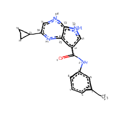 O=C(Nc1cccc(C(F)(F)F)c1)c1c[nH]c2ncc(C3CC3)nc12